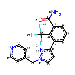 NC(=O)c1cccc(-c2ccn(Cc3ccncc3)n2)c1C(F)(F)F